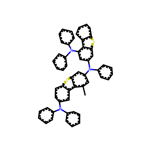 Cc1cc(N(c2ccccc2)c2cc(N(c3ccccc3)c3ccccc3)c3c(c2)sc2ccccc23)cc2sc3ccc(N(c4ccccc4)c4ccccc4)cc3c12